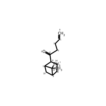 C=CCCC(=O)C1CCC2CC1C2(C)C